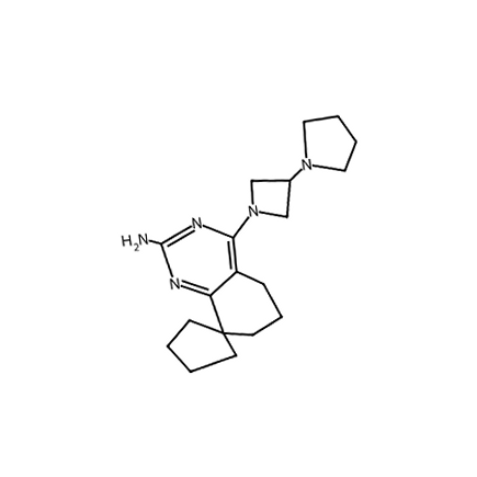 Nc1nc(N2CC(N3CCCC3)C2)c2c(n1)C1(CCCC1)CCC2